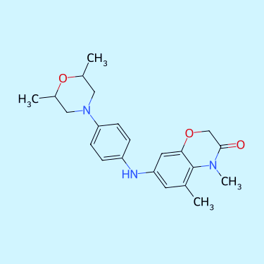 Cc1cc(Nc2ccc(N3CC(C)OC(C)C3)cc2)cc2c1N(C)C(=O)CO2